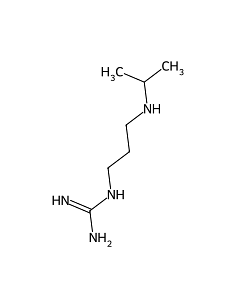 CC(C)NCCCNC(=N)N